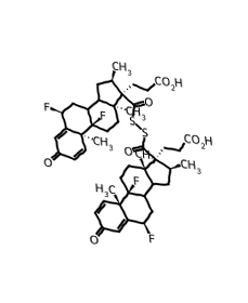 C[C@@H]1CC2C3C[C@H](F)C4=CC(=O)C=C[C@]4(C)[C@@]3(F)CC[C@]2(C)[C@]1(CCC(=O)O)C(=O)SSC(=O)[C@@]1(CCC(=O)O)[C@@H](C)CC2C3C[C@@H](F)C4=CC(=O)C=C[C@]4(C)[C@]3(F)CC[C@@]21C